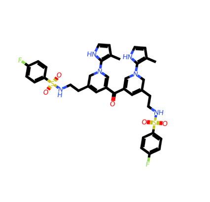 Cc1cc[nH]c1N1C=C(C(=O)C2=CN(c3[nH]ccc3C)CC(CCNS(=O)(=O)c3ccc(F)cc3)=C2)C=C(CCNS(=O)(=O)c2ccc(F)cc2)C1